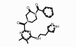 Cc1nc(C(=O)N2CCN(C(=O)c3ccccc3)C(=O)C2)nc(NCCc2cn[nH]c2)c1C